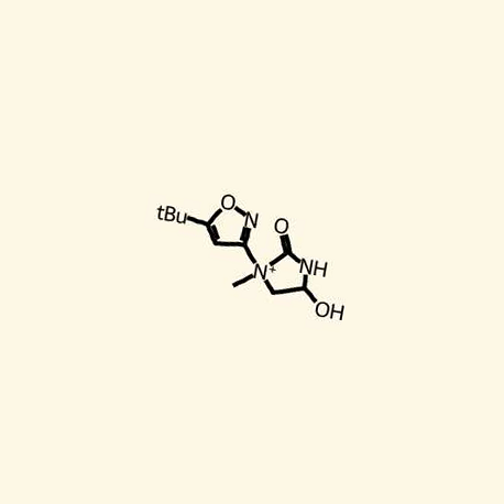 CC(C)(C)c1cc([N+]2(C)CC(O)NC2=O)no1